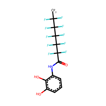 O=C(Nc1cccc(O)c1O)C(F)(F)C(F)(F)C(F)(F)C(F)(F)C(F)(F)C(F)(F)F